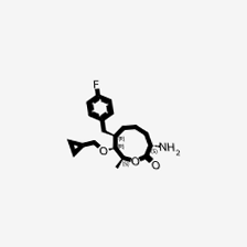 C[C@@H]1OC(=O)[C@@H](N)CCC[C@H](Cc2ccc(F)cc2)[C@H]1OCC1CC1